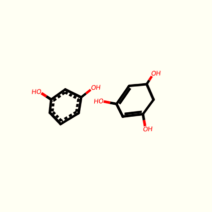 OC1=CC(O)CC(O)=C1.Oc1cccc(O)c1